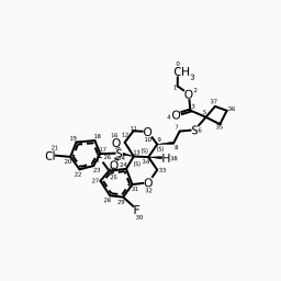 CCOC(=O)C1(SCC[C@@H]2OCC[C@@]3(S(=O)(=O)c4ccc(Cl)cc4)c4c(F)ccc(F)c4OC[C@@H]23)CCC1